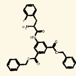 NC(Cc1ccccc1F)C(=O)Nc1cc(C(=O)OCc2ccccc2)cc(C(=O)OCc2ccccc2)c1